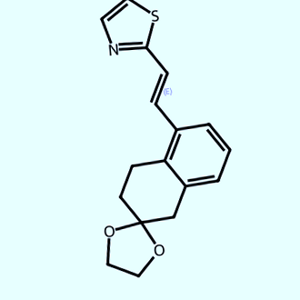 C(=C\c1cccc2c1CCC1(C2)OCCO1)/c1nccs1